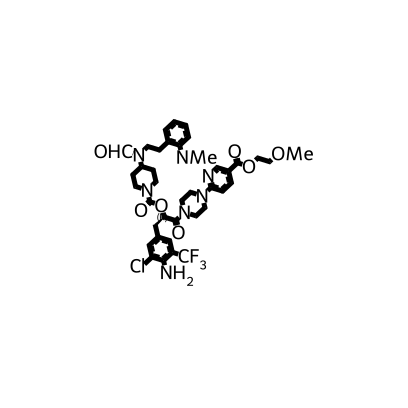 CNc1ccccc1CCN(C=O)C1CCN(C(=O)O[C@H](Cc2cc(Cl)c(N)c(C(F)(F)F)c2)C(=O)N2CCN(c3ccc(C(=O)OCCOC)cn3)CC2)CC1